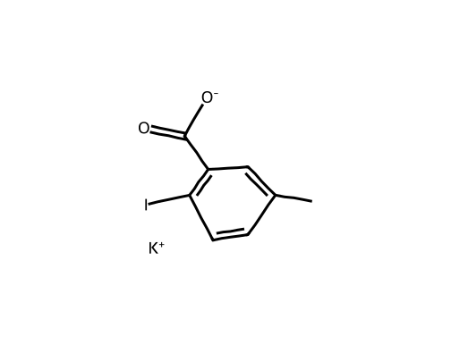 Cc1ccc(I)c(C(=O)[O-])c1.[K+]